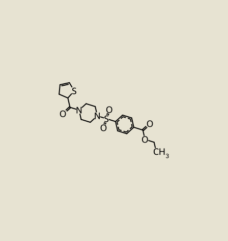 CCOC(=O)c1ccc(S(=O)(=O)N2CCN(C(=O)C3CC=CS3)CC2)cc1